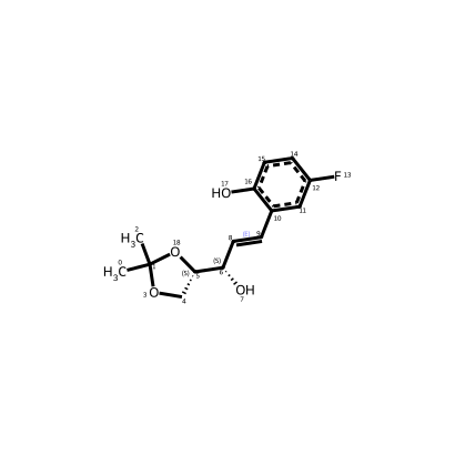 CC1(C)OC[C@@H]([C@@H](O)/C=C/c2cc(F)ccc2O)O1